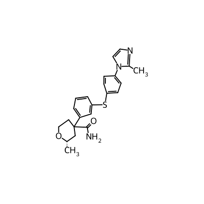 Cc1nccn1-c1ccc(Sc2cccc(C3(C(N)=O)CCO[C@@H](C)C3)c2)cc1